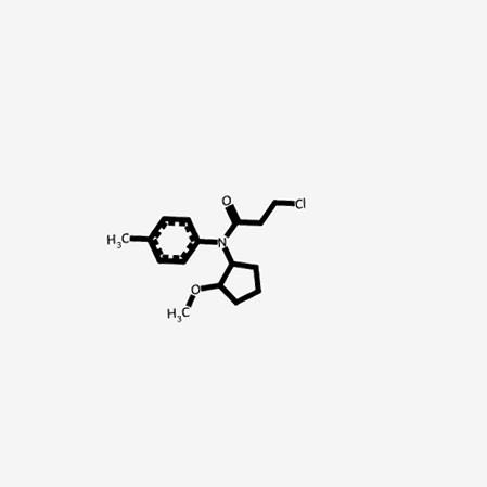 COC1CCCC1N(C(=O)CCCl)c1ccc(C)cc1